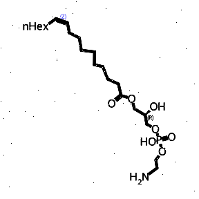 CCCCCC/C=C\CCCCCCCCC(=O)OC[C@@H](O)COP(=O)(O)OCCN